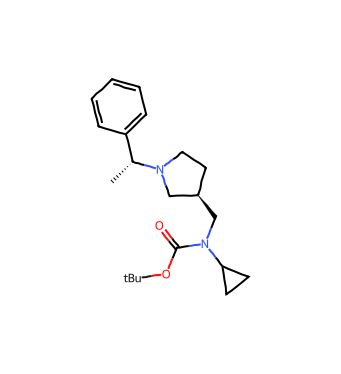 C[C@H](c1ccccc1)N1CC[C@@H](CN(C(=O)OC(C)(C)C)C2CC2)C1